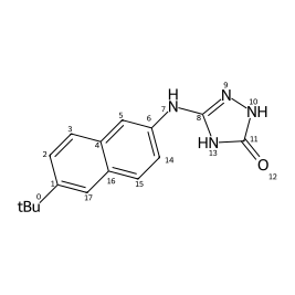 CC(C)(C)c1ccc2cc(Nc3n[nH]c(=O)[nH]3)ccc2c1